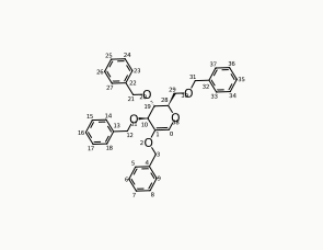 C1=C(OCc2ccccc2)[C@@H](OCc2ccccc2)[C@H](OCc2ccccc2)[C@@H](COCc2ccccc2)O1